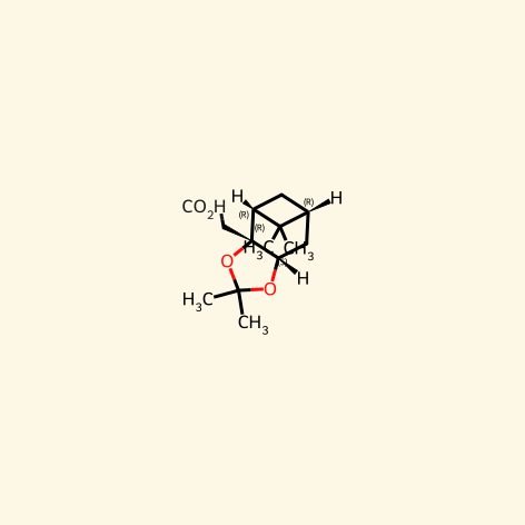 CC1(C)O[C@H]2C[C@H]3C[C@H](C3(C)C)[C@@]2(CC(=O)O)O1